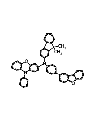 CC1(C)c2ccccc2-c2ccc(N(c3ccc(-c4ccc5oc6ccccc6c5c4)cc3)c3ccc4c(c3)Oc3ccccc3N4c3ccccc3)cc21